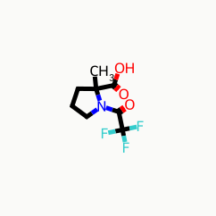 CC1(C(=O)O)CCCN1C(=O)C(F)(F)F